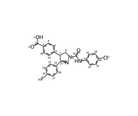 O=C(O)c1ccc(C2CN(C(=O)Nc3ccc(Cl)cc3)N=C2c2ccc(F)cc2)cc1